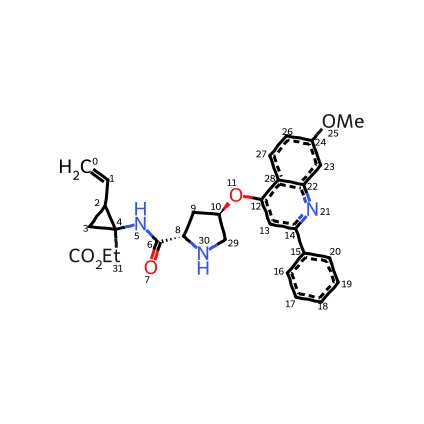 C=CC1CC1(NC(=O)[C@@H]1C[C@@H](Oc2cc(-c3ccccc3)nc3cc(OC)ccc23)CN1)C(=O)OCC